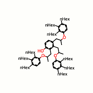 CCCCCCc1ccc(OC(C)Cc2ccc(O)c(CC(C)Oc3ccc(CCCCCC)c(CCCCCC)c3CCCCCC)c2CC(C)Oc2ccc(CCCCCC)c(CCCCCC)c2CCCCCC)c(CCCCCC)c1CCCCCC